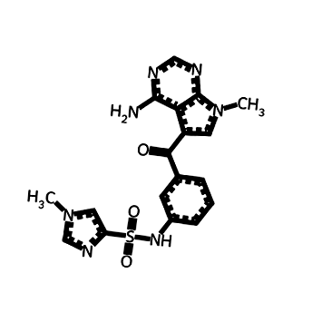 Cn1cnc(S(=O)(=O)Nc2cccc(C(=O)c3cn(C)c4ncnc(N)c34)c2)c1